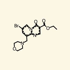 CCOC(=O)c1cnc2c(CN3CCOCC3)cc(Br)cn2c1=O